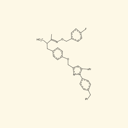 CCCc1cc(COc2ccc(CC(C(=O)O)C(C)=NOCc3ccc(F)cc3)cc2)nn1-c1ccc(CC(C)C)cc1